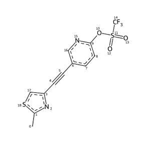 Cc1nc(C#Cc2ccc(OS(=O)(=O)C(F)(F)F)nc2)cs1